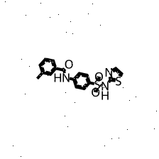 Cc1cccc(C(=O)Nc2ccc(S(=O)(=O)Nc3nccs3)cc2)c1